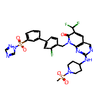 CS(=O)(=O)N1CCC(Nc2ncc3cc(C(F)F)c(=O)n(Cc4ccc(-c5cccc(S(=O)(=O)n6cncn6)c5)cc4F)c3n2)CC1